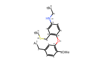 COc1ccc(CC(C)=O)cc1Oc1ccc(NCC(C)(C)C)cc1CSC(C)(C)C